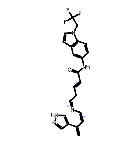 C=C(/C=C\N=C/C/C=C/C(=O)Nc1ccc2c(ccn2CC(F)(F)F)c1)c1cn[nH]c1